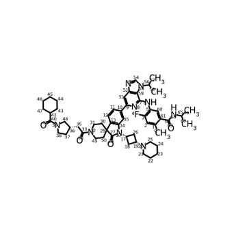 Cc1cc(F)c(Nc2nc(-c3ccc4c(c3)N([C@H]3C[C@@H](N5CCCCC5)C3)C(=O)C43CCN(C(=O)C[C@@H]4CCN(C(=O)C5CCCCC5)C4)CC3)cc3ncn(C(C)C)c23)cc1C(=O)NC(C)C